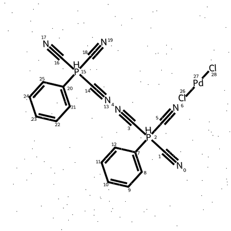 N#C[PH](C#N)(C#N)c1ccccc1.N#C[PH](C#N)(C#N)c1ccccc1.[Cl][Pd][Cl]